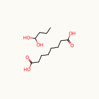 CCCC(O)O.O=C(O)CCCCCCC(=O)O